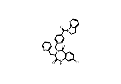 O=C1Nc2cc(Cl)ccc2C(=O)N(Cc2ccc(C(=O)N3CCc4cccnc43)cc2)C1Cc1ccccn1